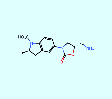 C[C@@H]1Cc2cc(N3C[C@H](CN)OC3=O)ccc2N1C(=O)O